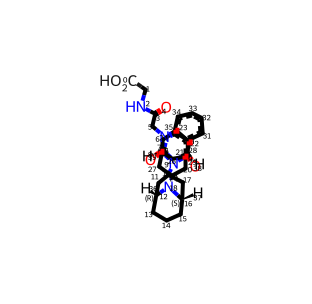 O=C(O)CNC(=O)Cn1c(=O)n(C2C[C@H]3CCC[C@@H](C2)N3[C@H]2C[C@@H]3CCC[C@@H](C3)C2)c(=O)c2ccccc21